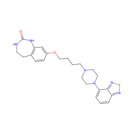 O=C1NCCc2ccc(OCCCCN3CCN(c4cccc5nsnc45)CC3)cc2N1